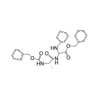 C[C@H](NC(=O)OCc1ccccc1)C(=O)NC(Nc1ccccc1)C(=O)OCc1ccccc1